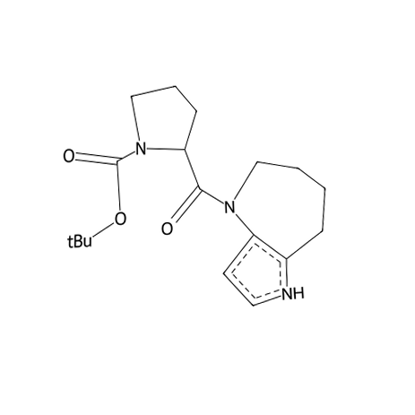 CC(C)(C)OC(=O)N1CCCC1C(=O)N1CCCCc2[nH]ccc21